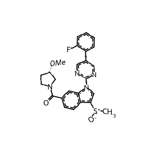 CO[C@H]1CCN(C(=O)c2ccc3c([S+](C)[O-])cn(-c4ncc(-c5ccccc5F)cn4)c3c2)C1